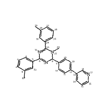 Cc1cccc(C2=NC(c3ccc(-c4cccnc4)cc3)N(C)C(c3cccc(C)c3)=N2)c1